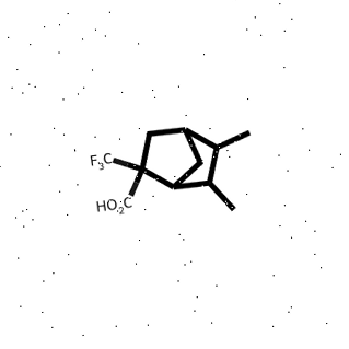 CC1C2CC(C1C)C(C(=O)O)(C(F)(F)F)C2